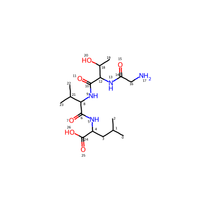 CC(C)CC(NC(=O)C(NC(=O)C(NC(=O)CN)C(C)O)C(C)C)C(=O)O